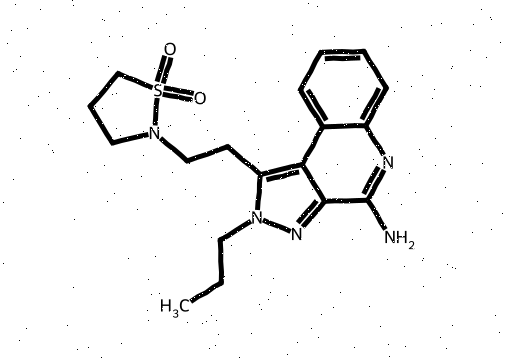 CCCn1nc2c(N)nc3ccccc3c2c1CCN1CCCS1(=O)=O